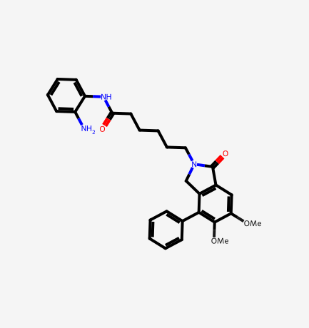 COc1cc2c(c(-c3ccccc3)c1OC)CN(CCCCCC(=O)Nc1ccccc1N)C2=O